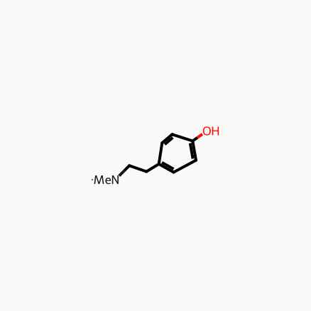 C[N]CCc1ccc(O)cc1